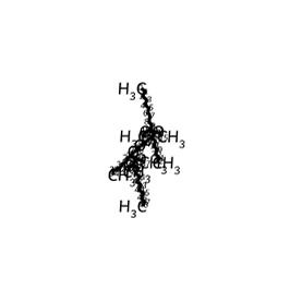 CCCCCCCCCCC(OC)=C(OC)C(CCCCCC)OCOCOC(CCCCCC)C(OC)=C(CCCCCCCCCC)OC